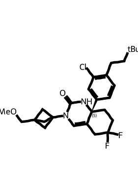 COCC12CC(N3C=C4CC(F)(F)CC[C@@]4(c4ccc(CCC(C)(C)C)c(Cl)c4)NC3=O)(C1)C2